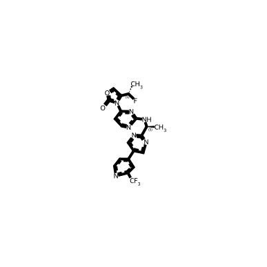 C[C@H](F)c1coc(=O)n1-c1ccnc(N[C@@H](C)c2ncc(-c3ccnc(C(F)(F)F)c3)cn2)n1